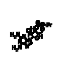 CC(C)O[P@@]1(=O)OC[C@H]2O[C@@H](n3cnc4c(N)nc(N)nc43)[C@@](F)(Cl)[C@@H]2O1